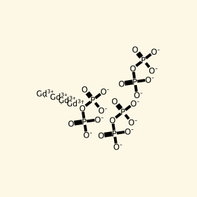 O=P([O-])([O-])OP(=O)([O-])[O-].O=P([O-])([O-])OP(=O)([O-])[O-].O=P([O-])([O-])OP(=O)([O-])[O-].[Gd+3].[Gd+3].[Gd+3].[Gd+3]